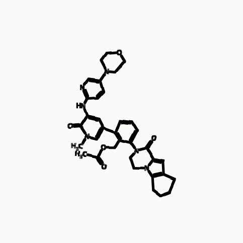 CC(=O)OCc1c(-c2cc(Nc3ccc(N4CCOCC4)cn3)c(=O)n(C)c2)cccc1N1CCn2c(cc3c2CCCC3)C1=O